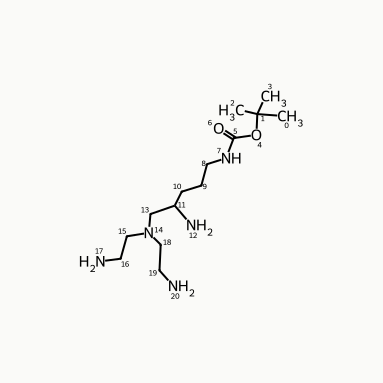 CC(C)(C)OC(=O)NCCCC(N)CN(CCN)CCN